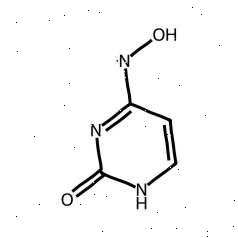 O=c1nc([N]O)cc[nH]1